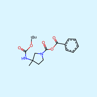 CC1(NC(=O)OC(C)(C)C)CCN(C(=O)OC(=O)c2ccccc2)C1